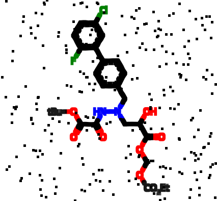 CCOC(=O)OCOC(=O)C(O)CN(Cc1ccc(-c2cc(Cl)ccc2F)cc1)NC(=O)C(=O)OC(C)(C)C